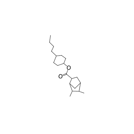 CCCCC1CCC(OC(=O)C2CC3CC2C(C)C3C)CC1